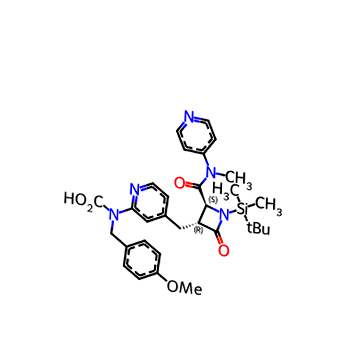 COc1ccc(CN(C(=O)O)c2cc(C[C@H]3C(=O)N([Si](C)(C)C(C)(C)C)[C@@H]3C(=O)N(C)c3ccncc3)ccn2)cc1